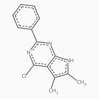 Cc1[nH]c2nc(-c3ccccc3)nc(Cl)c2c1C